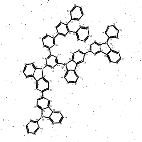 c1ccc(-c2ccc(-c3cccc(-c4nc(-n5c6ccccc6c6cc(-c7ccc8c(c7)c7ccccc7n8-c7ccccc7)ccc65)nc(-n5c6ccccc6c6cc(-c7ccc8c(c7)c7ccccc7n8-c7ccccc7)ccc65)n4)c3)cc2-c2ccccc2)cc1